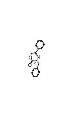 O=C1OCC(c2ccccc2)=N[C@H]1Cc1ccccc1